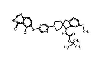 COc1ccc2c(c1)[C@@H](NC(=O)OC(C)(C)C)C1(CCN(c3cnc(Sc4ccc5nc[nH]c(=O)c5c4Cl)cn3)CC1)C2